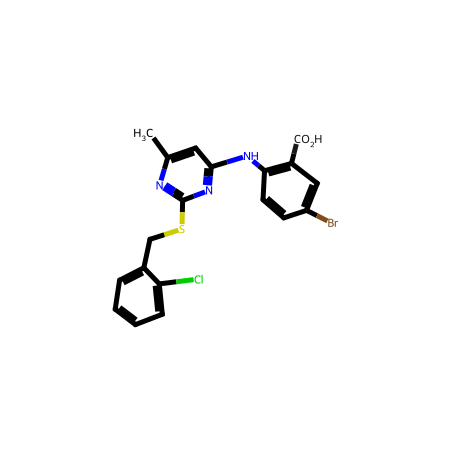 Cc1cc(Nc2ccc(Br)cc2C(=O)O)nc(SCc2ccccc2Cl)n1